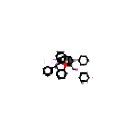 PC(c1ccccc1)(c1ccccc1)c1ccccc1-c1c(CP(c2ccccc2)c2ccccc2)ccc2ccccc12